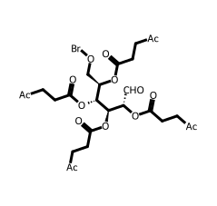 CC(=O)CCC(=O)O[C@@H]([C@H](OC(=O)CCC(C)=O)[C@@H](COBr)OC(=O)CCC(C)=O)[C@H](C=O)OC(=O)CCC(C)=O